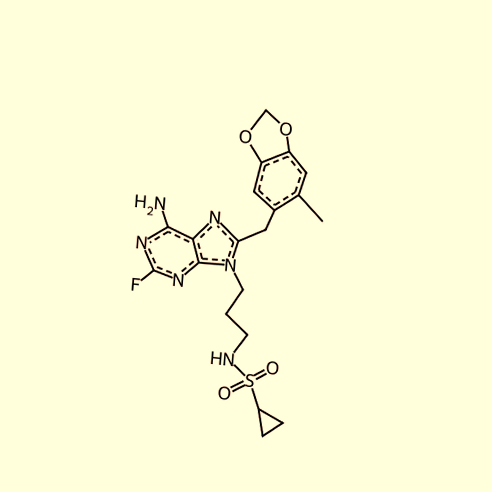 Cc1cc2c(cc1Cc1nc3c(N)nc(F)nc3n1CCCNS(=O)(=O)C1CC1)OCO2